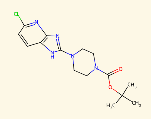 CC(C)(C)OC(=O)N1CCN(c2nc3nc(Cl)ccc3[nH]2)CC1